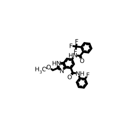 COCc1nc2c(C(=O)Nc3ccccc3F)cc(NC(=O)c3ccccc3C(F)(F)F)cc2[nH]1